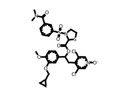 COc1ccc(C(Cc2c(Cl)c[n+]([O-])cc2Cl)OC(=O)C2SCCN2S(=O)(=O)c2cccc(C(=O)N(C)C)c2)cc1OCC1CC1